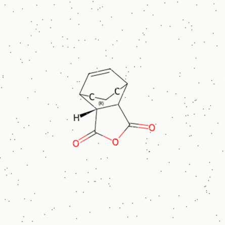 O=C1OC(=O)[C@@H]2C3C=CC(CCC3)C12